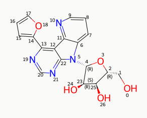 OC[C@H]1O[C@@H](n2c3cccnc3c3c(-c4ccco4)ncnc32)[C@H](O)[C@@H]1O